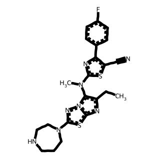 CCc1nc2sc(N3CCCNCC3)nn2c1N(C)c1nc(-c2ccc(F)cc2)c(C#N)s1